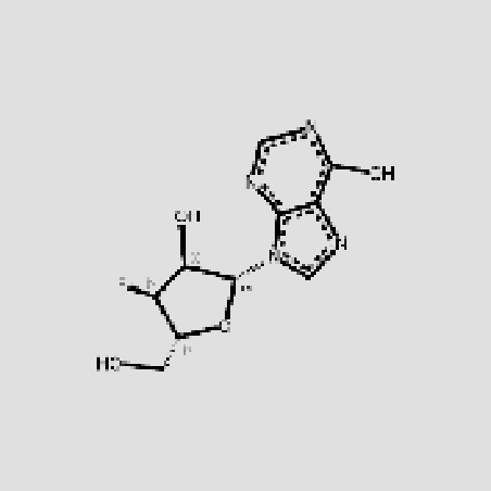 OC[C@H]1O[C@@H](n2cnc3c(O)ncnc32)[C@H](O)[C@@H]1F